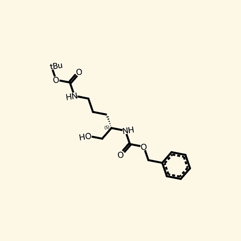 CC(C)(C)OC(=O)NCCC[C@@H](CO)NC(=O)OCc1ccccc1